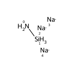 N[SiH3].[Na].[Na].[Na]